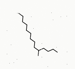 [CH2]CCCCCCCCC(C)CCCC